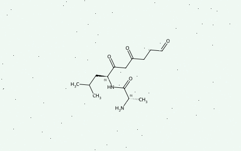 CC(C)C[C@H](NC(=O)[C@H](C)N)C(=O)CC(=O)C[C]C=O